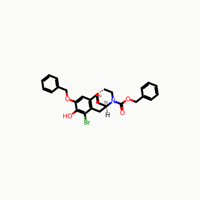 O=C(OCc1ccccc1)N1CC[C@@]23CCCCC2[C@@H]1Cc1c3cc(OCc2ccccc2)c(O)c1Br